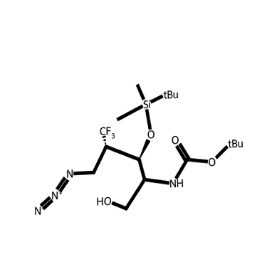 CC(C)(C)OC(=O)NC(CO)[C@H](O[Si](C)(C)C(C)(C)C)[C@H](CN=[N+]=[N-])C(F)(F)F